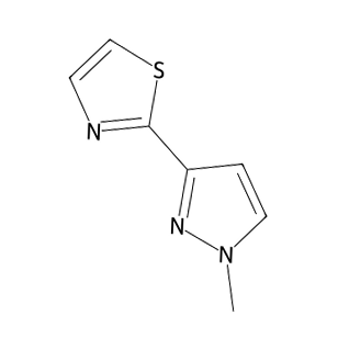 Cn1ccc(-c2nccs2)n1